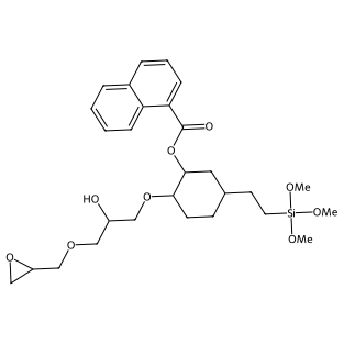 CO[Si](CCC1CCC(OCC(O)COCC2CO2)C(OC(=O)c2cccc3ccccc23)C1)(OC)OC